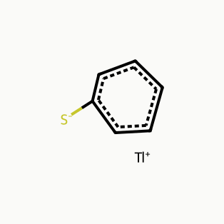 [S-]c1ccccc1.[Tl+]